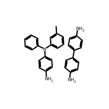 Cc1cccc(N(c2ccccc2)c2ccc(N)cc2)c1.Nc1ccc(-c2ccc(N)cc2)cc1